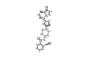 N#Cc1ccccc1[S+]([O-])CC1CCC(n2cc(C3N=CN=C4NC=CC43)cn2)CC1